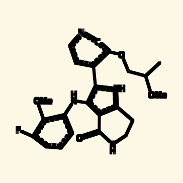 COc1c(F)cccc1Nc1c(-c2ccncc2OCC(C)OC)[nH]c2c1C(=O)NCC2